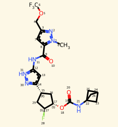 Cn1nc(COC(F)(F)F)cc1C(=O)Nc1cc([C@@H]2C[C@H](OC(=O)NC34CC(C3)C4)[C@@H](F)C2)n[nH]1